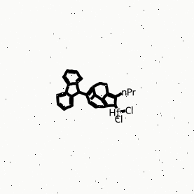 CCCC1=C2CCC3=C(C4c5ccccc5-c5ccccc54)C=CC(=C2C3C)[CH]1[Hf]([Cl])[Cl]